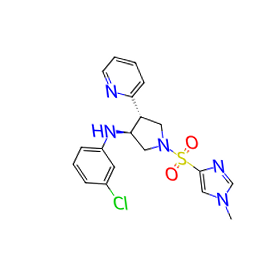 Cn1cnc(S(=O)(=O)N2C[C@@H](Nc3cccc(Cl)c3)[C@H](c3ccccn3)C2)c1